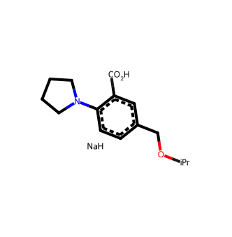 CC(C)OCc1ccc(N2CCCC2)c(C(=O)O)c1.[NaH]